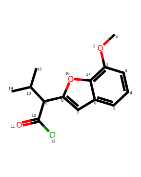 COc1cccc2cc(C(C(=O)Cl)C(C)C)oc12